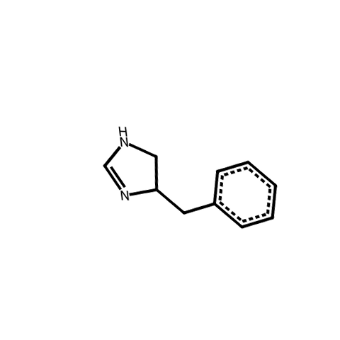 C1=NC(Cc2ccccc2)CN1